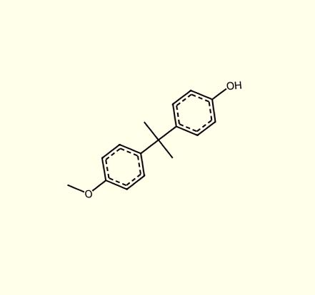 COc1ccc(C(C)(C)c2ccc(O)cc2)cc1